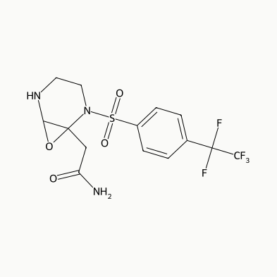 NC(=O)CC12OC1NCCN2S(=O)(=O)c1ccc(C(F)(F)C(F)(F)F)cc1